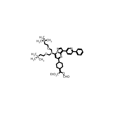 CCOC(=O)C(OC=O)=C1CCC(c2cc(N(COCC[Si](C)(C)C)COCC[Si](C)(C)C)n3ncc(-c4ccc(-c5ccccc5)nc4)c3n2)CC1